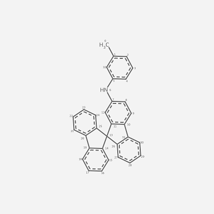 Cc1cccc(Nc2ccc3c(c2)C2(c4ccccc4-c4ccccc42)c2ccccc2-3)c1